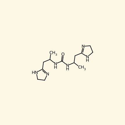 CC(CC1=NCCN1)NC(=O)NC(C)CC1=NCCN1